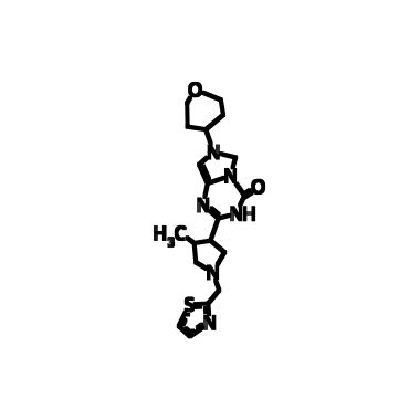 CC1CN(Cc2nccs2)CC1C1=NC2=CN(C3CCOCC3)CN2C(=O)N1